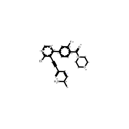 C=C(C#Cc1c(CC)ncnc1-c1ccc(C(=O)N2CCOCC2)c(F)c1)/C=C\C(C)N